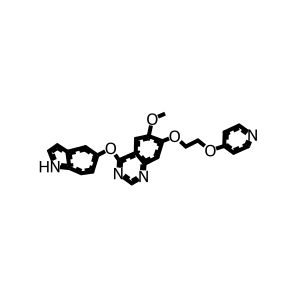 COc1cc2c(Oc3ccc4[nH]ccc4c3)ncnc2cc1OCCOc1ccncc1